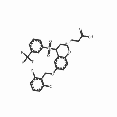 O=C(O)CC[C@H]1CC(S(=O)(=O)c2cccc(C(F)(F)F)c2)c2cc(OCc3c(F)cccc3Cl)ccc2O1